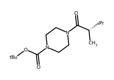 CC(C)[C@H](C)C(=O)N1CCN(C(=O)OC(C)(C)C)CC1